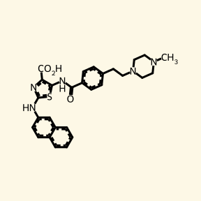 CN1CCN(CCc2ccc(C(=O)Nc3sc(Nc4ccc5ccccc5c4)nc3C(=O)O)cc2)CC1